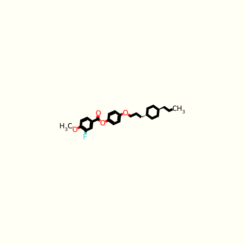 CCC[C@H]1CC[C@H](CCCOc2ccc(OC(=O)c3ccc(OC)c(F)c3)cc2)CC1